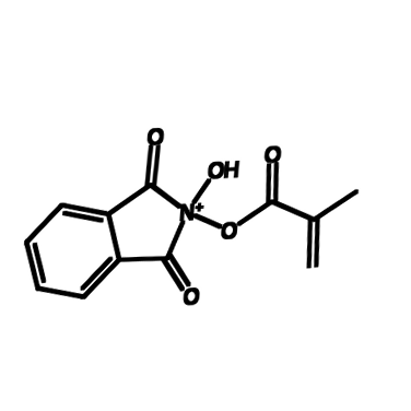 C=C(C)C(=O)O[N+]1(O)C(=O)c2ccccc2C1=O